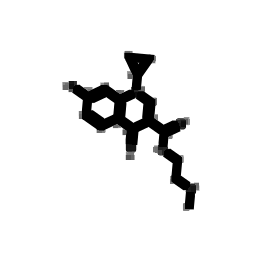 COCCOC(=O)c1cn(C2CC2)c2cc(F)ccc2c1=O